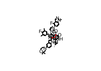 Cc1cc(-n2nc3c(c2-n2ccn(-c4ccc5c(cnn5C)c4F)c2=O)[C@@H]2CC[C@H](C3)N2C(=O)c2cc3cc(N4CCOC(C)(C)C4)ccc3n2[C@@]2(c3noc(=O)[nH]3)C[C@@H]2C)cc(C)c1F